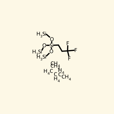 C.C.C.C.C.C.FC(F)(F)CC[Si](O[SiH3])(O[SiH3])O[SiH3]